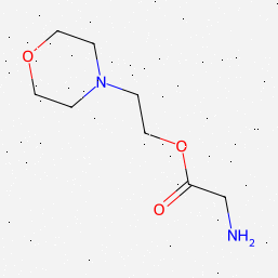 NCC(=O)OCCN1CCOCC1